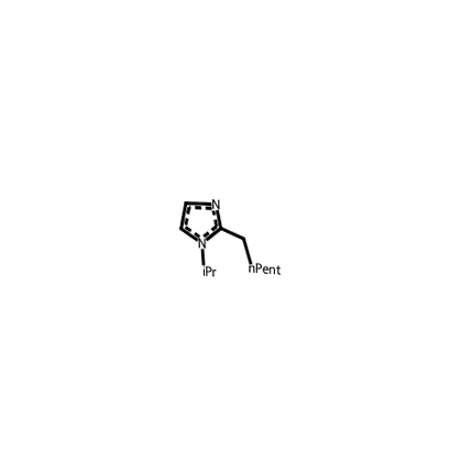 CCCCCCc1nccn1C(C)C